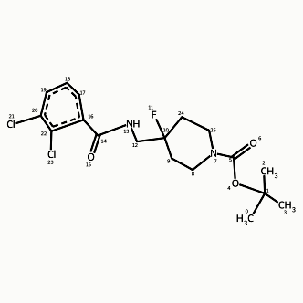 CC(C)(C)OC(=O)N1CCC(F)(CNC(=O)c2cccc(Cl)c2Cl)CC1